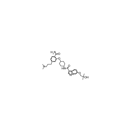 CN(C)CCCc1ccc(C(N)=O)c(OC2CCC(NC(=O)c3cnn4cc(OCC(C)(C)O)ccc34)CC2)c1